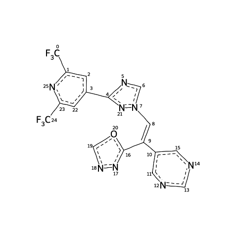 FC(F)(F)c1cc(-c2ncn(C=C(c3cncnc3)c3nnco3)n2)cc(C(F)(F)F)n1